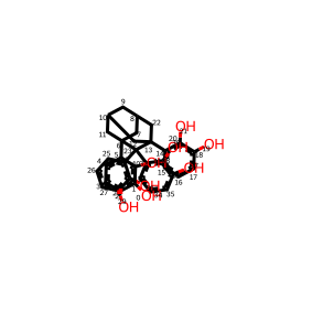 Oc1cccc(C23CC4CC(C2)CC(c2cccc(O)c2O)(C4)C3(c2cccc(O)c2O)c2cccc(O)c2O)c1O